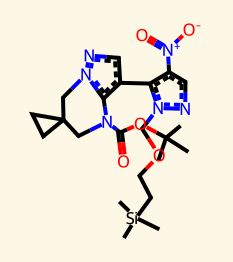 CC(C)(C)OC(=O)N1CC2(CC2)Cn2ncc(-c3c([N+](=O)[O-])cnn3COCC[Si](C)(C)C)c21